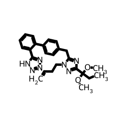 C=CCCn1nc(C(CC)(OC)OC)nc1Cc1ccc(-c2ccccc2-c2nnn[nH]2)cc1